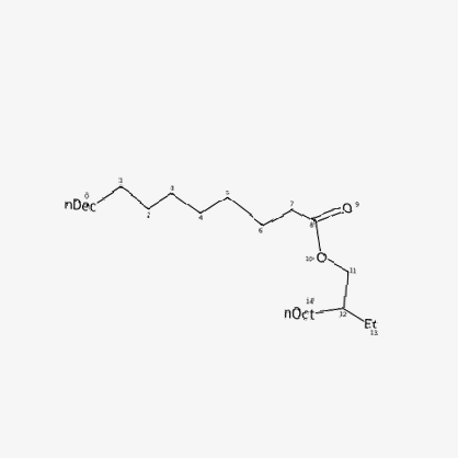 CCCCCCCCCCCCCCCCCC(=O)OCC(CC)CCCCCCCC